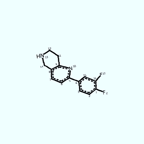 Fc1ccc(-c2ccc3c(n2)CCNC3)cc1F